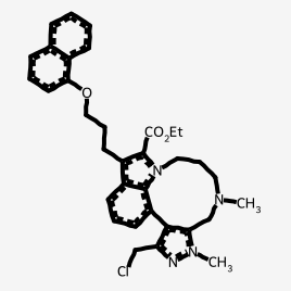 CCOC(=O)c1c(CCCOc2cccc3ccccc23)c2cccc3c2n1CCCN(C)Cc1c-3c(CCl)nn1C